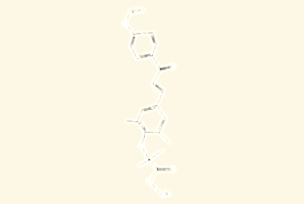 CCCCCCOc1ccc(C(=O)/C=C/c2cc(C)c(OC(C)(C)C(=O)OC(C)(C)C)c(C)c2)cc1